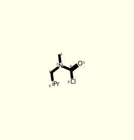 CC(C)CN(C)C(=O)Cl